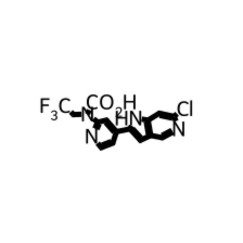 O=C(O)N(CC(F)(F)F)c1cc(-c2cc3cnc(Cl)cc3[nH]2)ccn1